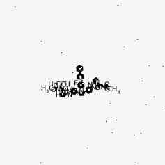 COC(=O)NCC(=O)N1CCC[C@H]1c1nc2cc([C@H]3CC[C@H](c4ccc5[nH]c([C@@H]6CCCN6C(=O)C(NC(=O)OC)C(C)C)nc5c4)N3c3ccc(N4CCC(c5ccccc5)CC4)c(F)c3)ccc2[nH]1